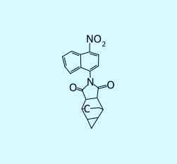 O=C1C2C3CCC(C4CC43)C2C(=O)N1c1ccc([N+](=O)[O-])c2ccccc12